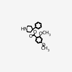 COc1ccc(C(=O)OC2(c3ccccc3)CCNCC2)c(OC)c1